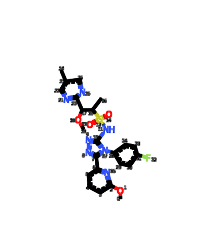 COc1cccc(-c2nnc(NS(=O)(=O)C(C)C(OC)c3ncc(C)cn3)n2-c2ccc(F)cc2)n1